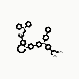 C=C/C=C(\C=C)c1ccc(N(C2=CCC(c3ccccc3)C=C2)c2ccc(-c3ccc(-n4ccccccc5cc(/C(C=C)=C/C=C/N(c6ccccc6)c6ccccc6)ccc54)cc3)cc2)cc1